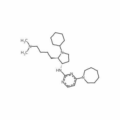 CN(C)CCCC[C@@H]1[C@@H](Nc2nccc(N3CCCCCC3)n2)CCN1C1CCCCC1